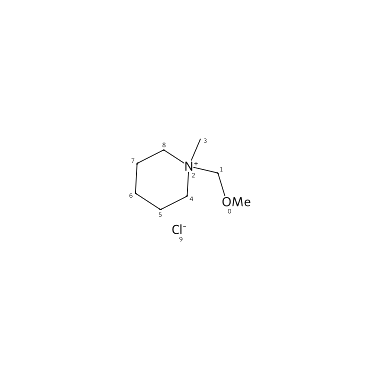 COC[N+]1(C)CCCCC1.[Cl-]